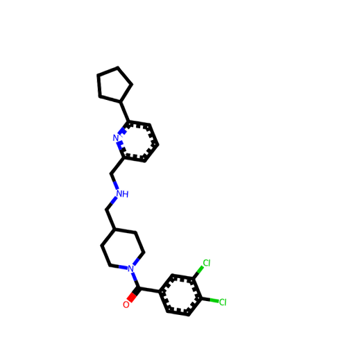 O=C(c1ccc(Cl)c(Cl)c1)N1CCC(CNCc2cccc(C3CCCC3)n2)CC1